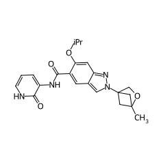 CC(C)Oc1cc2nn(C34COC(C)(C3)C4)cc2cc1C(=O)Nc1ccc[nH]c1=O